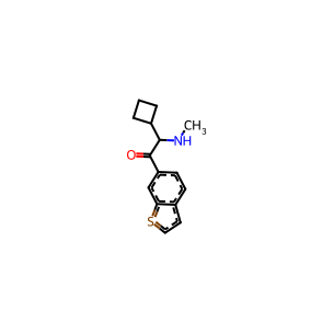 CNC(C(=O)c1ccc2ccsc2c1)C1CCC1